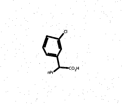 CCCC(C(=O)O)c1cccc(Cl)c1